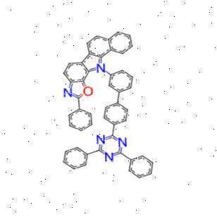 c1ccc(-c2nc(-c3ccccc3)nc(-c3ccc(-c4cccc(-n5c6c7ccccc7ccc6c6ccc7nc(-c8ccccc8)oc7c65)c4)cc3)n2)cc1